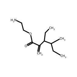 C=C(C(=O)OCCN)C(CC)C(C)CC